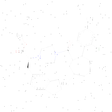 CC(C)(C)OC(=O)[C@H](Cc1ccc2c(c1)CCC2)N1CCN(C(=O)C2CC(C(C)(C)C)CCCC2c2ccc(C#N)cc2F)CC1